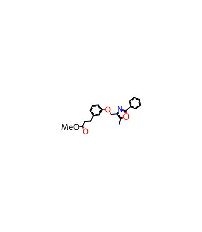 COC(=O)CCc1cccc(OCc2nc(-c3ccccc3)oc2C)c1